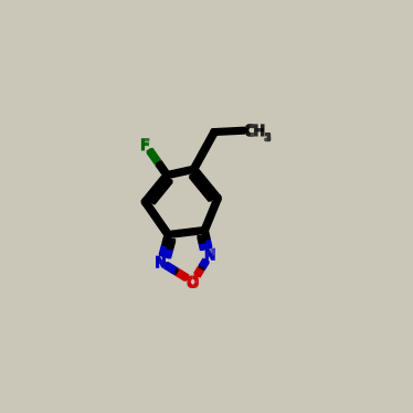 CCc1cc2nonc2cc1F